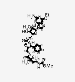 CCOc1nc(N)nc2c1ncn2[C@@H]1O[C@H](CO[P@](=O)(NCc2ccccc2)OCCSC(=O)C(C)(C)CCNC(=O)OC)[C@@H](O)[C@@]1(C)Cl